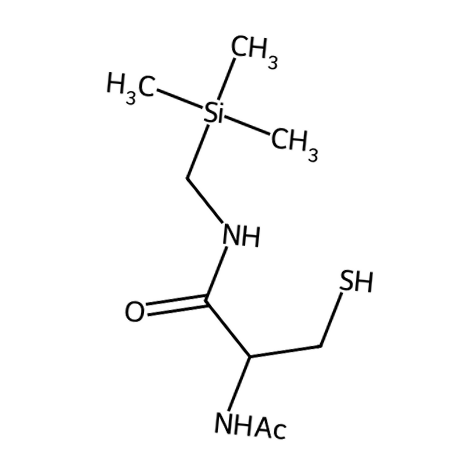 CC(=O)NC(CS)C(=O)NC[Si](C)(C)C